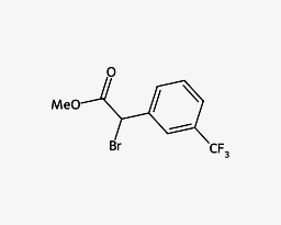 COC(=O)C(Br)c1cccc(C(F)(F)F)c1